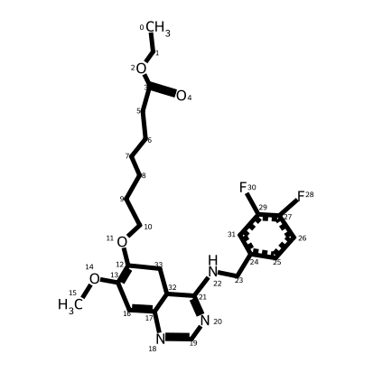 CCOC(=O)CCCCCCOC1=C(OC)C=C2N=CN=C(NCc3ccc(F)c(F)c3)C2C1